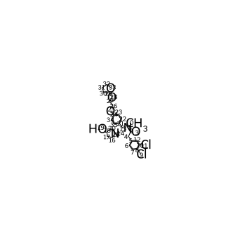 CN(C(=O)Cc1ccc(Cl)c(Cl)c1)[C@H](CN1CC[C@H](O)C1)c1ccc(OCCOC2CCCO2)cc1